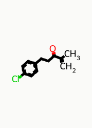 C=C(C)C(=O)CCc1ccc(Cl)cc1